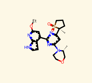 CCOc1cc(-c2nc(N3CCOC[C@H]3C)cc([C@]3(C)CCCS3(=O)=O)n2)c2cc[nH]c2n1